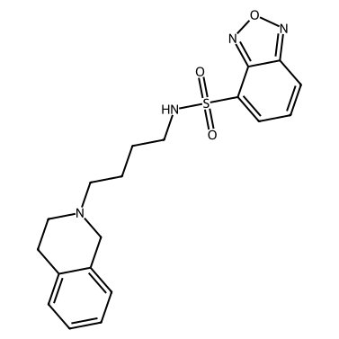 O=S(=O)(NCCCCN1CCc2ccccc2C1)c1cccc2nonc12